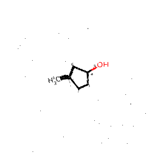 C=C1CCC(O)C1